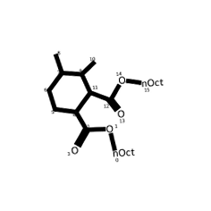 CCCCCCCCOC(=O)C1CCC(C)C(C)C1C(=O)OCCCCCCCC